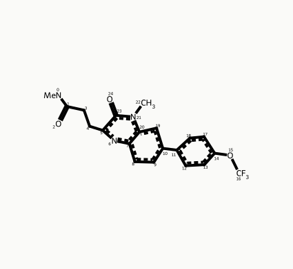 CNC(=O)CCc1nc2ccc(-c3ccc(OC(F)(F)F)cc3)cc2n(C)c1=O